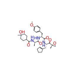 COc1ccc(C[C@H](NC(=O)[C@@H](C)NC(=O)C2CCC(C)(O)CC2)C(=O)N[C@@H](CC2=CCCC2)C(=O)[C@@]2(C)CO2)cc1